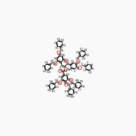 Cc1cc(OCc2ccccc2)c(OCc2ccccc2)cc1[C@@H]1Oc2cc(OCc3ccccc3)cc(OCc3ccccc3)c2C[C@H]1OC(=O)c1cc(OCc2ccccc2)c(OCc2ccccc2)c(OCc2ccccc2)c1